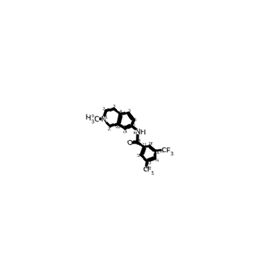 CN1CCc2ccc(NC(=O)c3cc(C(F)(F)F)cc(C(F)(F)F)c3)cc2C1